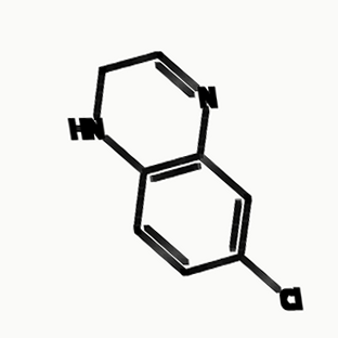 Clc1ccc2c(c1)N=CCN2